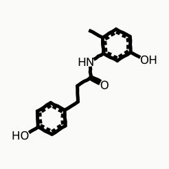 Cc1ccc(O)cc1NC(=O)CCc1ccc(O)cc1